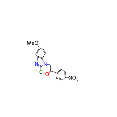 COc1ccc2c(c1)nc(Cl)n2CC(=O)c1ccc([N+](=O)[O-])cc1